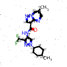 Cc1cnc2c(C(=O)Nc3cn([C@H]4CC[C@H](C)CC4)nc3C(F)F)cnn2c1